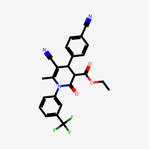 CCOC(=O)C1C(=O)N(c2cccc(C(F)(F)F)c2)C(C)=C(C#N)C1c1ccc(C#N)cc1